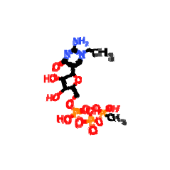 CCn1cc(C2OC(COP(=O)(O)OP(=O)(O)OP(C)(=O)O)C(O)C2O)c(=O)nc1N